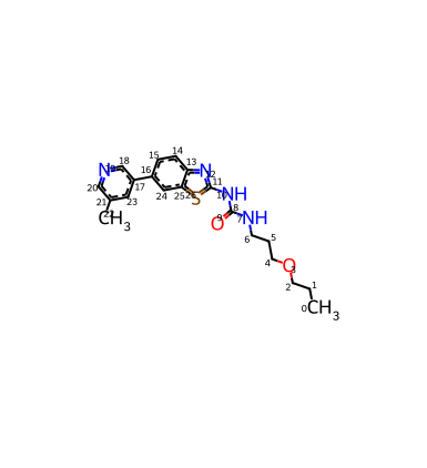 CCCOCCCNC(=O)Nc1nc2ccc(-c3cncc(C)c3)cc2s1